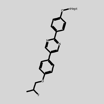 CCCCCCCOc1ccc(-c2ncc(-c3ccc(OCC(C)F)cc3)cn2)cc1